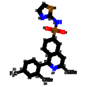 CNc1cc2cc(S(=O)(=O)Nc3nccs3)ccc2c(-c2ccc(C(F)(F)F)cc2OC)n1